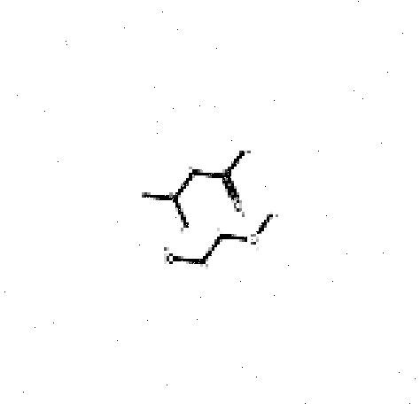 CC(=O)CC(C)C.COCCO